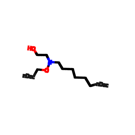 CCCCCCCCCCCCCCCCN(CCO)OCCCCCCCCCCC